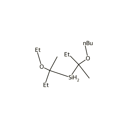 CCCCOC(C)(CC)[SiH2]C(C)(CC)OCC